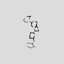 O=C1NCCN1c1cn2c(-c3cccc(NC4CNCCC4F)n3)cnc2cn1